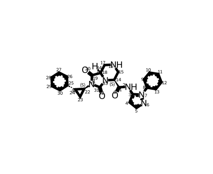 O=C(Nc1ccnn1-c1ccccc1)[C@@H]1CNC[C@H]2C(=O)N([C@H]3C[C@@H]3c3ccccc3)C(=O)N12